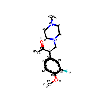 CC(C)C(=O)[C@@H](CN1CCN(C)CC1)c1ccc(OC(F)(F)F)c(F)c1